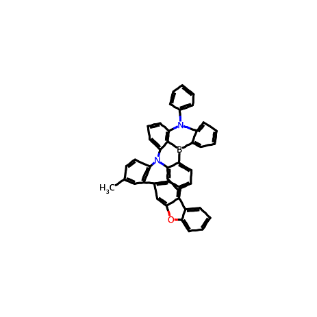 Cc1ccc(N2c3ccccc3B3c4ccccc4N(c4ccccc4)c4cccc2c43)c(-c2ccc3c(c2)oc2ccccc23)c1